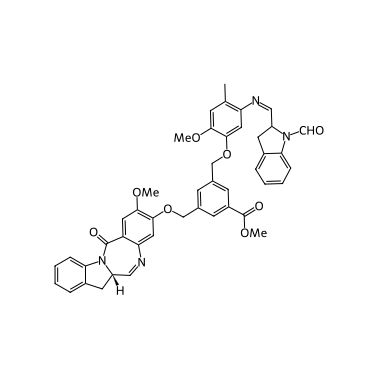 COC(=O)c1cc(COc2cc3c(cc2OC)C(=O)N2c4ccccc4C[C@H]2C=N3)cc(COc2cc(/N=C\C3Cc4ccccc4N3C=O)c(C)cc2OC)c1